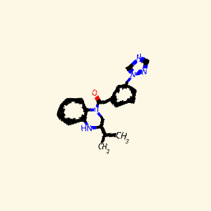 CC(C)C1CN(C(=O)c2cccc(-n3cncn3)c2)c2ccccc2N1